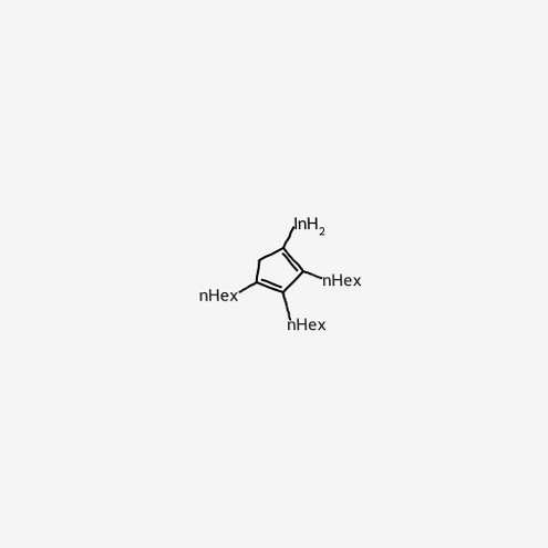 CCCCCCC1=C(CCCCCC)C(CCCCCC)=[C]([InH2])C1